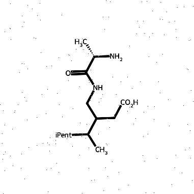 CCCC(C)C(C)C(CNC(=O)[C@H](C)N)CC(=O)O